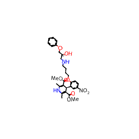 COC(=O)C1=C(C)NC(C)=C(C(=O)OC)C1c1cc([N+](=O)[O-])ccc1OCCCCNC[C@H](O)COc1ccccc1